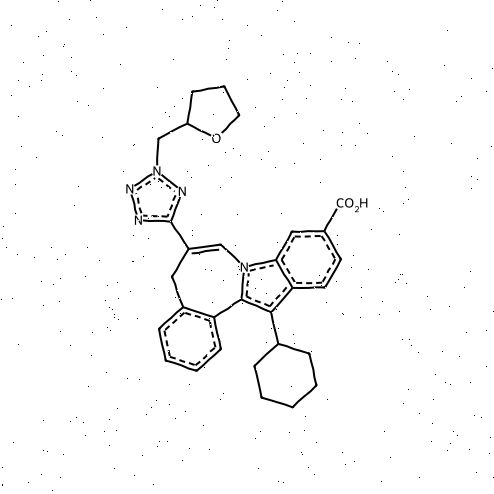 O=C(O)c1ccc2c(C3CCCCC3)c3n(c2c1)C=C(c1nnn(CC2CCCO2)n1)Cc1ccccc1-3